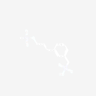 CS(=O)(=O)OCCCc1cccc(CS(=O)(=O)O)c1